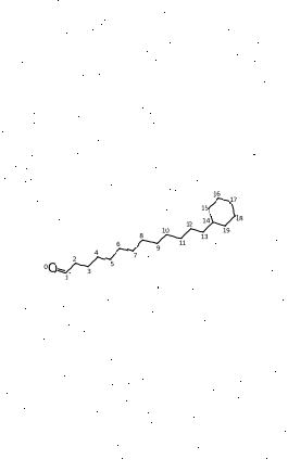 O=[C]CCCCCCCCCCCCC1CCCCC1